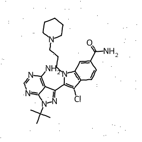 CC(C)(C)n1nc(-c2c(Cl)c3ccc(C(N)=O)cc3n2CCCN2CCCCC2)c2c(N)ncnc21